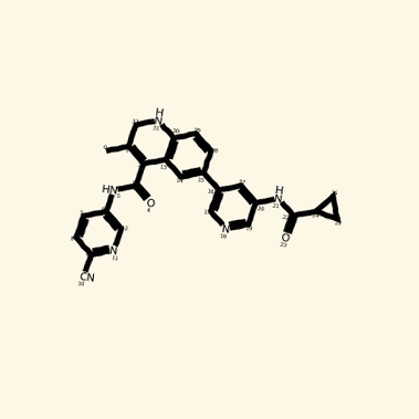 CC1=C(C(=O)Nc2ccc(C#N)nc2)c2cc(-c3cncc(NC(=O)C4CC4)c3)ccc2NC1